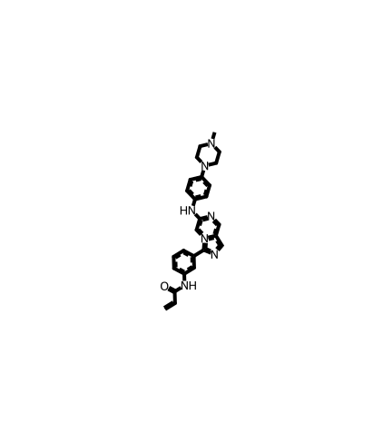 C=CC(=O)Nc1cccc(-c2ncc3cnc(Nc4ccc(N5CCN(C)CC5)cc4)cn23)c1